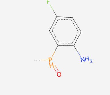 C[PH](=O)c1cc(F)ccc1N